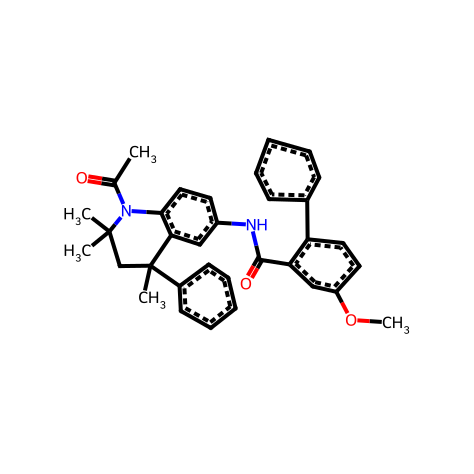 COc1ccc(-c2ccccc2)c(C(=O)Nc2ccc3c(c2)C(C)(c2ccccc2)CC(C)(C)N3C(C)=O)c1